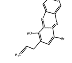 C=CCc1cc(Br)c2nc3ccccc3nc2c1O